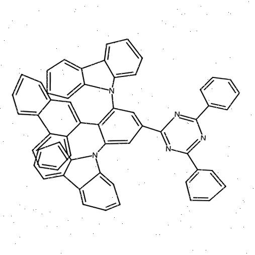 c1ccc(-c2nc(-c3ccccc3)nc(-c3cc(-n4c5ccccc5c5ccccc54)c(-c4cc5ccccc5c5ccccc45)c(-n4c5ccccc5c5ccccc54)c3)n2)cc1